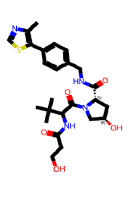 Cc1ncsc1-c1ccc(CNC(=O)[C@@H]2C[C@@H](O)CN2C(=O)C(NC(=O)CCO)C(C)(C)C)cc1